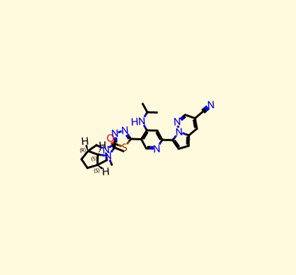 CC(=O)N(C)[C@@H]1[C@@H]2CC[C@H]1CN(c1nnc(-c3cnc(-c4ccc5cc(C#N)cnn45)cc3NC(C)C)s1)C2